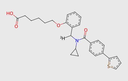 [2H]C(c1ccccc1OCCCCCC(=O)O)N(C(=O)c1ccc(-c2cccs2)cc1)C1CC1